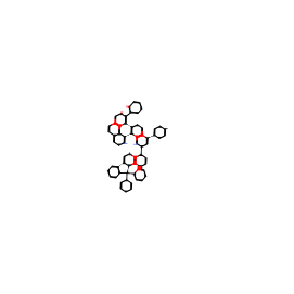 CC(C)(C)c1ccc(-c2ccc(N(c3ccc4c(c3)-c3ccccc3C4(c3ccccc3)c3ccccc3)c3ccc4ccccc4c3-c3ccccc3-c3cccc4oc5ccccc5c34)c(-c3ccccc3)c2)cc1